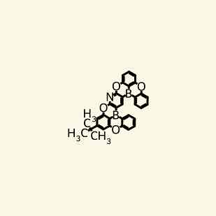 CC(C)(C)c1cc2c3c(c1)Oc1nc4c(cc1B3c1ccccc1O2)B1c2ccccc2Oc2cccc(c21)O4